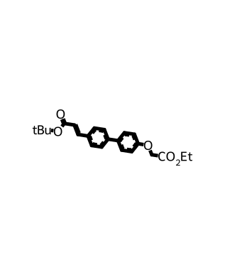 CCOC(=O)COc1ccc(-c2ccc(C=CC(=O)OC(C)(C)C)cc2)cc1